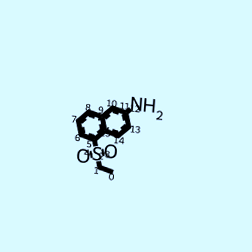 CCS(=O)(=O)c1cccc2cc(N)ccc12